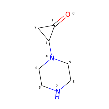 O=C1CC1N1CCNCC1